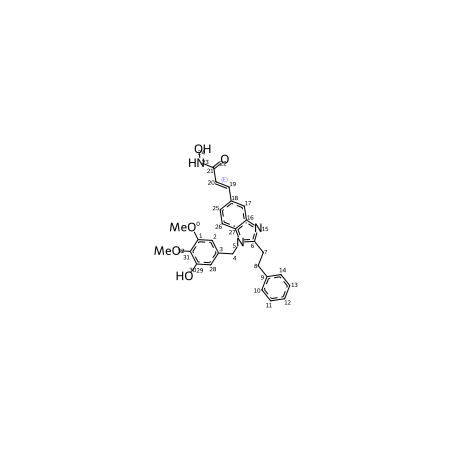 COc1cc(Cn2c(CCc3ccccc3)nc3cc(/C=C/C(=O)NO)ccc32)cc(O)c1OC